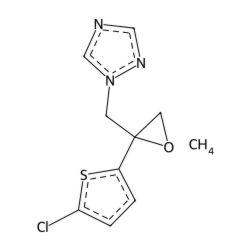 C.Clc1ccc(C2(Cn3cncn3)CO2)s1